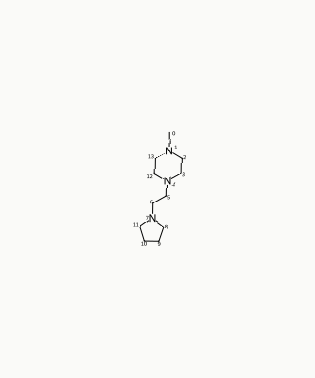 IN1CCN(CCN2CCCC2)CC1